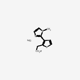 Cl.Cn1ccnc1-c1ccsc1CC(=O)O